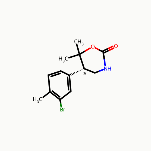 Cc1ccc([C@H]2CNC(=O)OC2(C)C)cc1Br